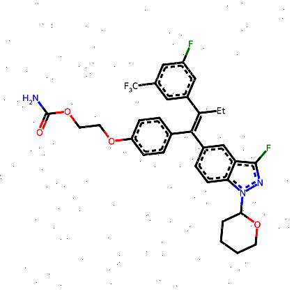 CCC(=C(c1ccc(OCCOC(N)=O)cc1)c1ccc2c(c1)c(F)nn2C1CCCCO1)c1cc(F)cc(C(F)(F)F)c1